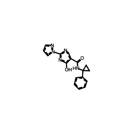 O=C(NC1(c2ccccc2)CC1)c1cnc(-n2cccn2)nc1O